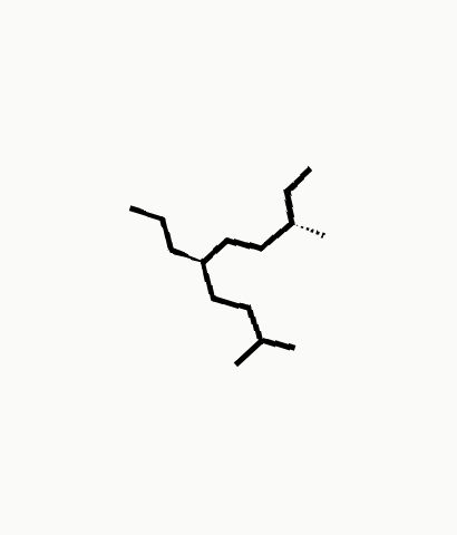 CC[CH][C@H](CCC(C)C)CC[C@@H](C)CC